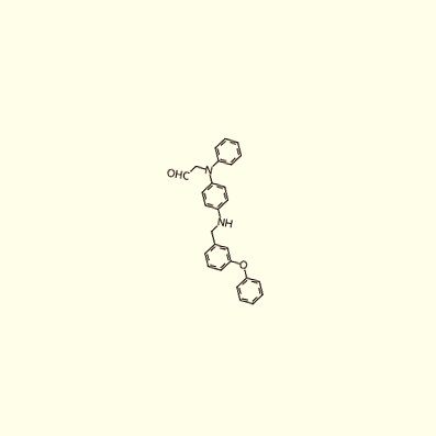 O=CCN(c1ccccc1)c1ccc(NCc2cccc(Oc3ccccc3)c2)cc1